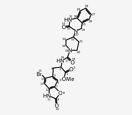 COC(=O)C(Cc1cc2oc(=O)[nH]c2cc1Br)NC(=O)N1CCC(N2Cc3ccccc3NC2=O)CC1